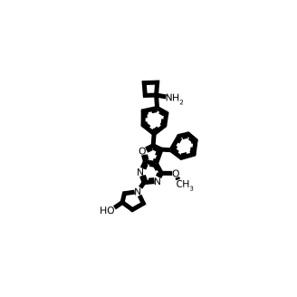 COc1nc(N2CCC(O)C2)nc2oc(-c3ccc(C4(N)CCC4)cc3)c(-c3ccccc3)c12